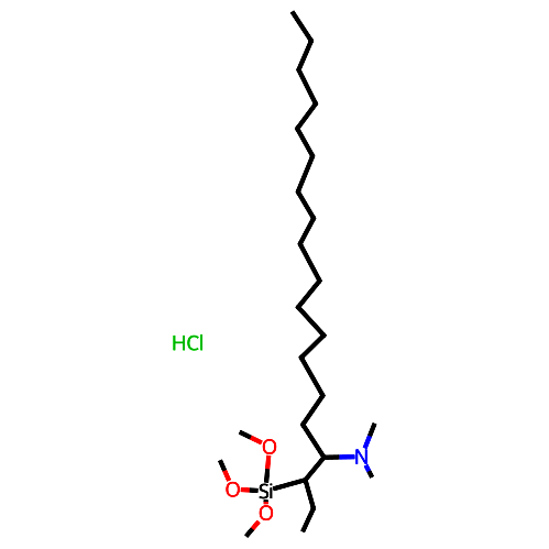 CCCCCCCCCCCCCCCC(C(CC)[Si](OC)(OC)OC)N(C)C.Cl